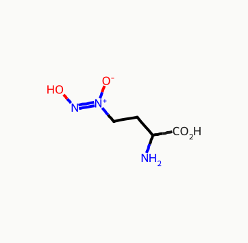 NC(CC/[N+]([O-])=N/O)C(=O)O